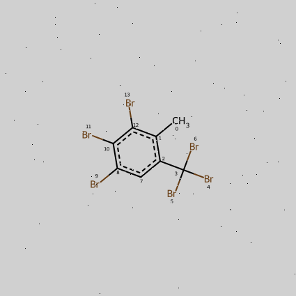 Cc1c(C(Br)(Br)Br)cc(Br)c(Br)c1Br